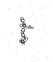 CCCCC1CN(C2CCOCC2)C(=O)N1C1CCN(C2(C)CCN(C(=O)c3c(C)ncnc3C)CC2)CC1